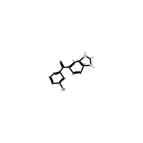 C=C(c1cccc(Br)c1)c1ccc2c(c1)OCO2